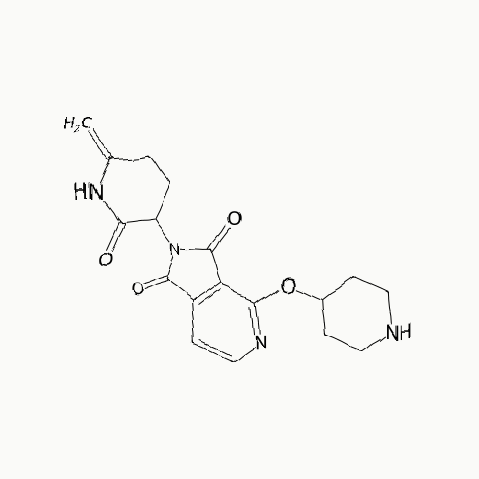 C=C1CCC(N2C(=O)c3ccnc(OC4CCNCC4)c3C2=O)C(=O)N1